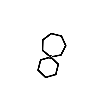 C1CCCS2(CC1)CCCCC2